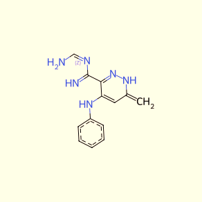 C=C1C=C(Nc2ccccc2)C(C(=N)/N=C\N)=NN1